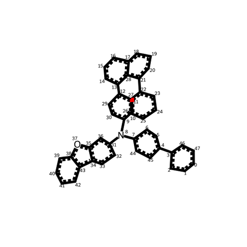 c1ccc(-c2ccc(N(c3ccc(-c4cccc5cccc(-c6ccccc6)c45)cc3)c3ccc4c(c3)oc3ccccc34)cc2)cc1